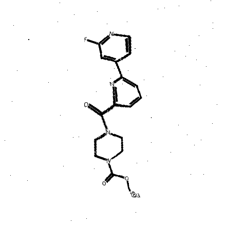 CC(C)(C)OC(=O)N1CCN(C(=O)c2cccc(-c3ccnc(F)c3)n2)CC1